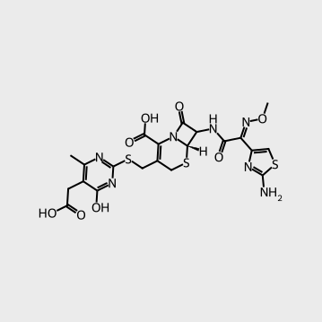 CON=C(C(=O)NC1C(=O)N2C(C(=O)O)=C(CSc3nc(C)c(CC(=O)O)c(O)n3)CS[C@@H]12)c1csc(N)n1